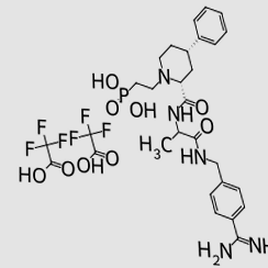 CC(NC(=O)[C@H]1C[C@@H](c2ccccc2)CCN1CCP(=O)(O)O)C(=O)NCc1ccc(C(=N)N)cc1.O=C(O)C(F)(F)F.O=C(O)C(F)(F)F